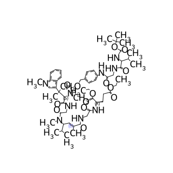 CCOC(=O)CC[C@@H](NC(=O)CNC(=O)/C(C)=C/C(C(C)C)N(C)C(=O)CNC(=O)[C@@H](N(C)C(=O)OCc1ccc(NC(=O)CNC(=O)C(NC(=O)OC(C)(C)C)C(C)C)cc1)C(C)(C)c1cn(C)c2ccccc12)C(=O)OCC